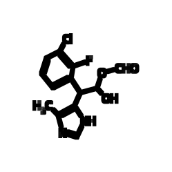 Cc1nc[nH]c1C(c1cccc(Cl)c1F)C(O)OC=O